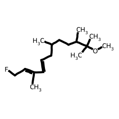 COC(C)(C)C(C)CCC(C)CC=CC(C)=CCF